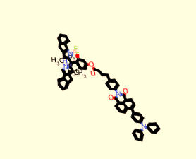 CC1=C2Cc3ccccc3C2=CN/C1=C(/c1c(C)cc(OC(=O)CCCc2ccc(N3C(=O)c4cccc5c(-c6ccc(N(c7ccccc7)c7ccccc7)cc6)ccc(c45)C3=O)cc2)cc1C)c1c(C)c2c(n1B(F)F)-c1ccccc1C2